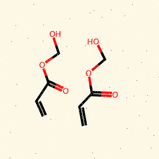 C=CC(=O)OCO.C=CC(=O)OCO